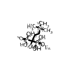 C[N+](C)(C)CCC(O)(P(=O)(O)O)P(=O)(O)O.[I-]